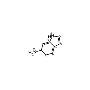 NC1C=c2[nH]ccc2=CC1